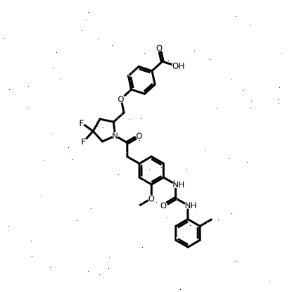 COc1cc(CC(=O)N2CC(F)(F)CC2COc2ccc(C(=O)O)cc2)ccc1NC(=O)Nc1ccccc1C